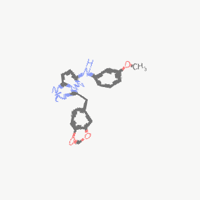 COc1cccc(Nc2ccc3nnc(Cc4ccc5c(c4)OCO5)n3n2)c1